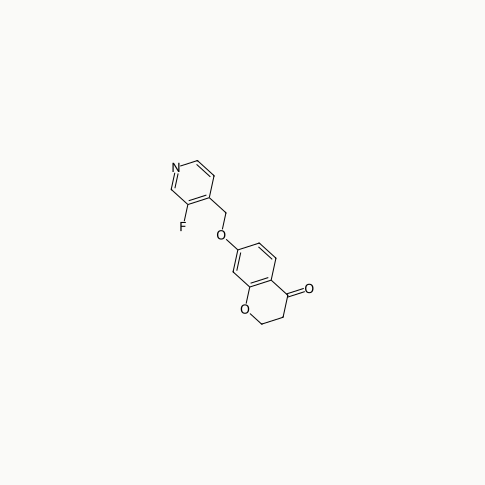 O=C1CCOc2cc(OCc3ccncc3F)ccc21